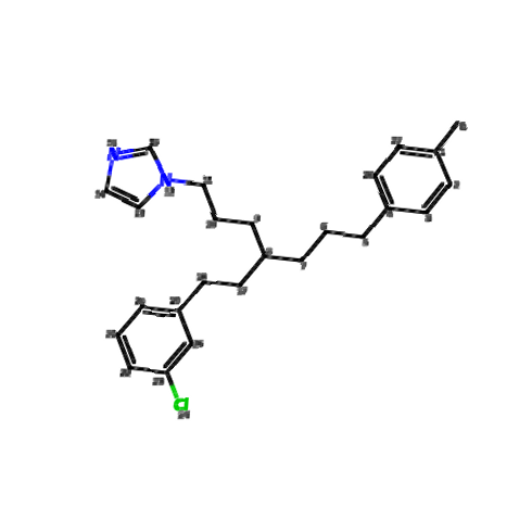 Cc1ccc(CCCC(CCCn2ccnc2)CCc2cccc(Cl)c2)cc1